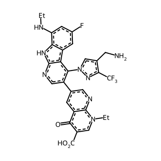 CCNc1cc(F)cc2c1[nH]c1ncc(-c3cnc4c(c3)c(=O)c(C(=O)O)cn4CC)c(-n3cc(CN)c(C(F)(F)F)n3)c12